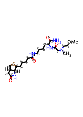 COCCN(C)CC(=O)N[C@@H](CCCCNC(=O)CCCCC1SC[C@@H]2CC(=O)N[C@H]12)C(N)=O